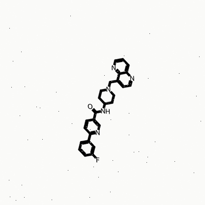 O=C(NC1CCN(Cc2ccnc3cccnc23)CC1)c1ccc(-c2cccc(F)c2)nc1